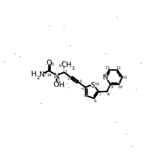 C[C@H](C#Cc1ccc(Cc2ccccn2)s1)N(O)C(N)=O